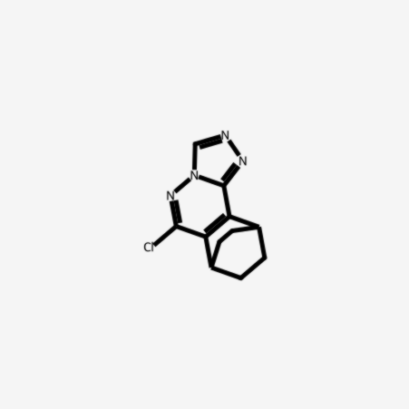 Clc1nn2cnnc2c2c1C1CCC2CC1